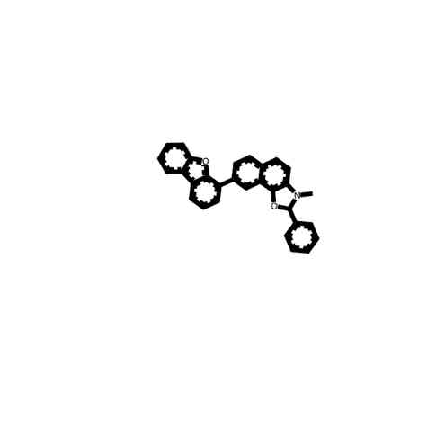 CN1c2ccc3ccc(-c4cccc5c4oc4ccccc45)cc3c2OC1c1ccccc1